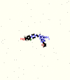 CN(CCN1CCN(c2ccc(C(C)(C)O)cc2F)CC1)c1nc(N)n2nc(-c3ccco3)nc2n1